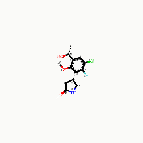 CCOc1c([C@@H](C)O)cc(Cl)c(F)c1[C@@H]1CNC(=O)C1